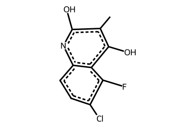 Cc1c(O)nc2ccc(Cl)c(F)c2c1O